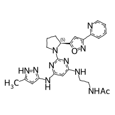 CC(=O)NCCNc1cc(Nc2cc(C)[nH]n2)nc(N2CCC[C@H]2c2cc(-c3ccccn3)no2)n1